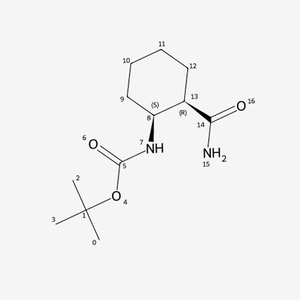 CC(C)(C)OC(=O)N[C@H]1CCCC[C@H]1C(N)=O